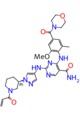 C=CC(=O)N1CCC[C@@H](n2cc(Nc3ncc(C(N)=O)c(Nc4c(C)cc(C(=O)N5CCOCC5)cc4OC)n3)cn2)C1